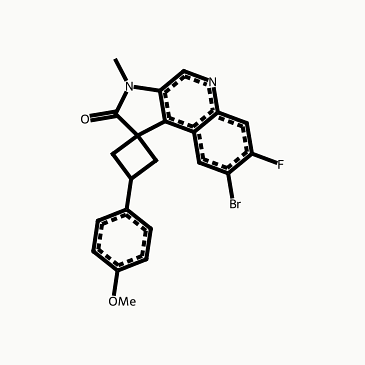 COc1ccc(C2CC3(C2)C(=O)N(C)c2cnc4cc(F)c(Br)cc4c23)cc1